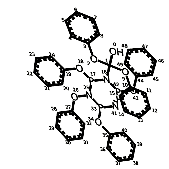 OC(Oc1ccccc1)(Oc1ccccc1)N1P(Oc2ccccc2)N(Oc2ccccc2)P(Oc2ccccc2)N=[PH]1Oc1ccccc1